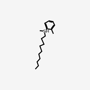 CCCCCCCCCC[SiH](C)c1ccccc1C